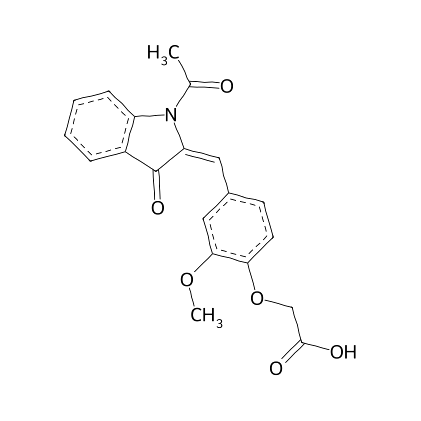 COc1cc(C=C2C(=O)c3ccccc3N2C(C)=O)ccc1OCC(=O)O